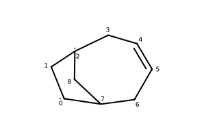 [CH]1C[C]2CC=CCC1C2